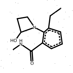 CCc1cccc(C(=O)NC)c1N1CCC1O